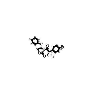 C[C@@H](C(=O)N1C(=O)OC[C@@H]1Cc1ccccc1)c1ccc(Br)cc1